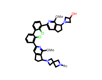 COc1nc(-c2cccc(-c3cccc(-c4cc5c(c(OC)n4)C(N4CC6(CN(C(C)=O)C6)C4)CC5)c3Cl)c2Cl)cc2c1C(N1CC(O)C1)CC2